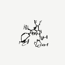 N=C(c1cc(F)c(F)c2nc(NC3CNCCOC3)[nH]c12)N(O)c1ccc(F)c(Cl)c1